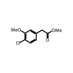 COC(=O)Cc1ccc(Cl)c(OC)c1